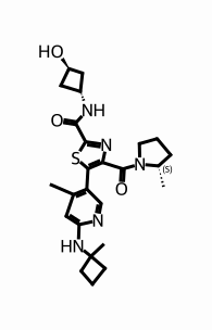 Cc1cc(NC2(C)CCC2)ncc1-c1sc(C(=O)N[C@H]2C[C@H](O)C2)nc1C(=O)N1CCC[C@@H]1C